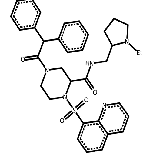 CCN1CCCC1CNC(=O)C1CN(C(=O)C(c2ccccc2)c2ccccc2)CCN1S(=O)(=O)c1cccc2cccnc12